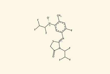 Cc1cc(F)c(/N=C2\SCC(=O)N2C(F)C(F)F)cc1[S@@+]([O-])C(F)C(F)F